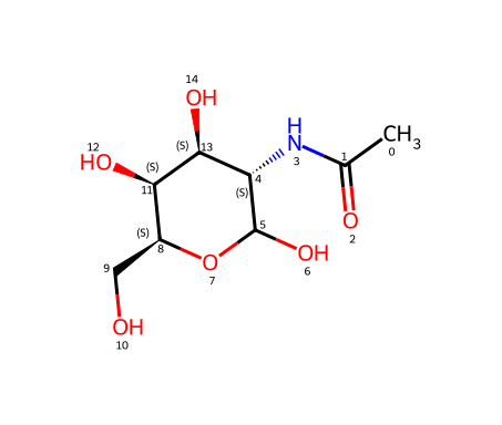 CC(=O)N[C@@H]1C(O)O[C@@H](CO)[C@@H](O)[C@H]1O